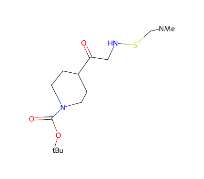 CNCSNCC(=O)C1CCN(C(=O)OC(C)(C)C)CC1